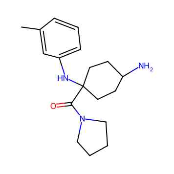 Cc1cccc(NC2(C(=O)N3CCCC3)CCC(N)CC2)c1